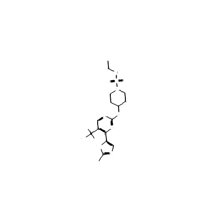 CCNS(=O)(=O)N1CCC(Nc2ncc(C(F)(F)F)c(-c3cnc(C)s3)n2)CC1